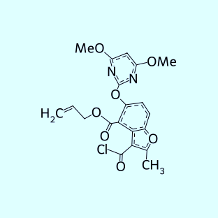 C=CCOC(=O)c1c(Oc2nc(OC)cc(OC)n2)ccc2oc(C)c(C(=O)Cl)c12